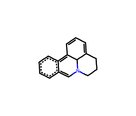 C1=CC2=c3ccccc3=CN3CCCC(=C1)C23